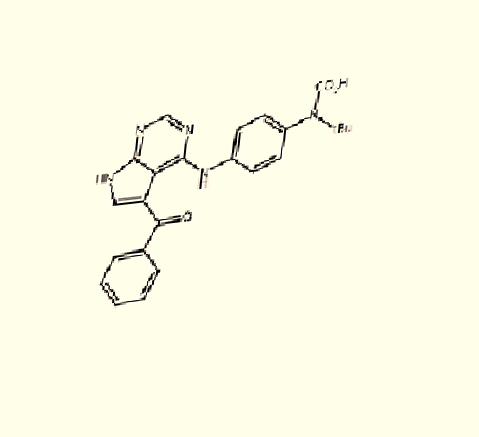 CC(C)(C)N(C(=O)O)c1ccc(Nc2ncnc3[nH]cc(C(=O)c4ccccc4)c23)cc1